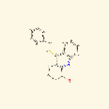 OC1CCCc2c1nc1ccccc1c2SCc1ccccc1